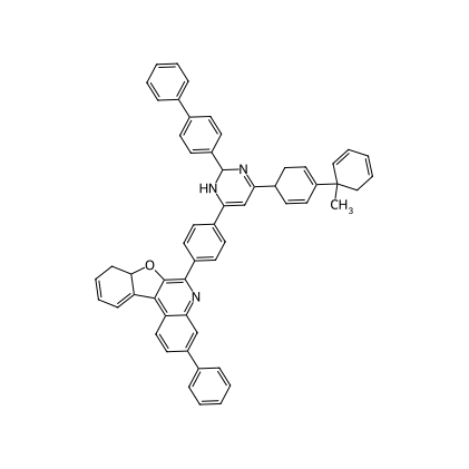 CC1(C2=CCC(C3=NC(c4ccc(-c5ccccc5)cc4)NC(c4ccc(-c5nc6cc(-c7ccccc7)ccc6c6c5OC5CC=CC=C65)cc4)=C3)C=C2)C=CC=CC1